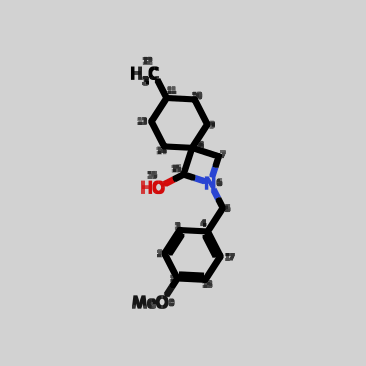 COc1ccc(CN2CC3(CCC(C)CC3)C2O)cc1